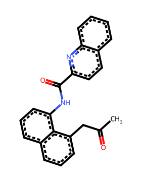 CC(=O)Cc1cccc2cccc(NC(=O)c3ccc4ccccc4n3)c12